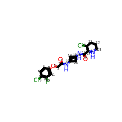 O=C(COc1ccc(Cl)c(F)c1)NC12CC(NC(=O)C3NCCCC3Cl)(C1)C2